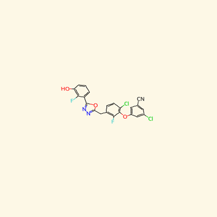 N#Cc1cc(Cl)cc(Oc2c(Cl)ccc(Cc3nnc(-c4cccc(O)c4F)o3)c2F)c1